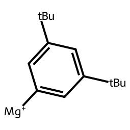 CC(C)(C)c1c[c]([Mg+])cc(C(C)(C)C)c1